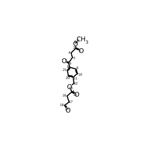 COC(=O)CCC(=O)c1ccc(COC(=O)CCC=O)cc1